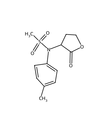 Cc1ccc(N(C2CCOC2=O)S(C)(=O)=O)cc1